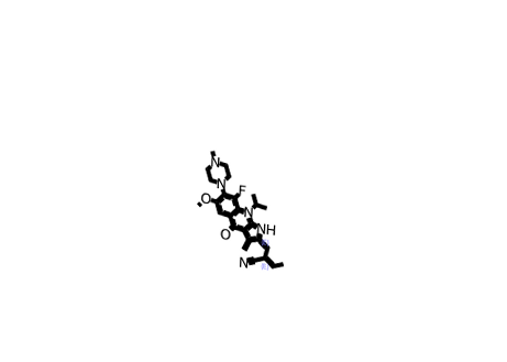 C=c1/c(=C\C(C#N)=C/C)[nH]c2c1c(=O)c1cc(OC)c(N3CCN(C)CC3)c(F)c1n2C(C)C